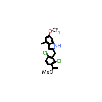 C=C(OC)c1ccc(Cl)c(Cc2cc3c(C)cc(OC(F)(F)F)cc3[nH]2)c1Cl